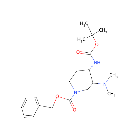 CN(C)C1CN(C(=O)OCc2ccccc2)CC[C@@H]1NC(=O)OC(C)(C)C